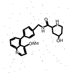 COc1ccnc2cccc(-c3ccc(CNC(=O)C4CC(O)CCN4)cc3)c12